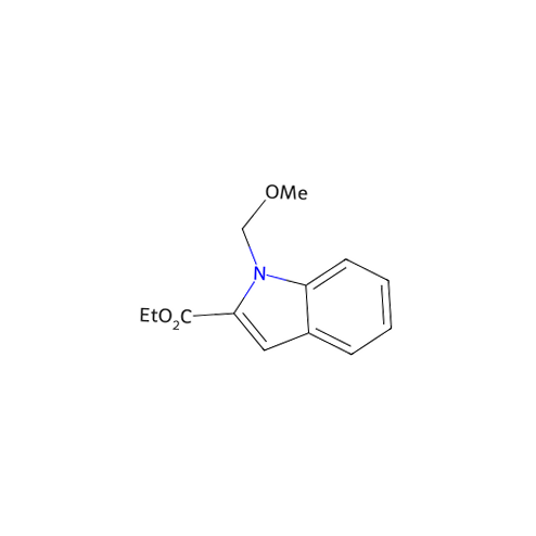 CCOC(=O)c1cc2ccccc2n1COC